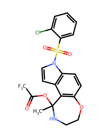 CC1(OC(=O)C(F)(F)F)NCCOc2ccc3c(ccn3S(=O)(=O)c3ccccc3Cl)c21